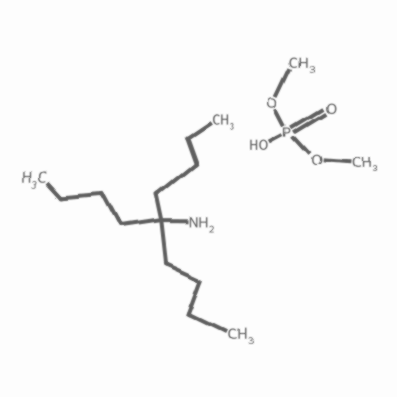 CCCCC(N)(CCCC)CCCC.COP(=O)(O)OC